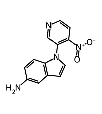 Nc1ccc2c(ccn2-c2cnccc2[N+](=O)[O-])c1